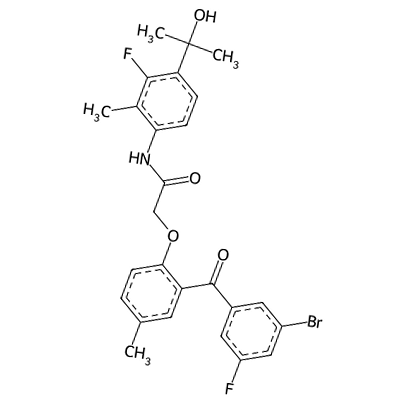 Cc1ccc(OCC(=O)Nc2ccc(C(C)(C)O)c(F)c2C)c(C(=O)c2cc(F)cc(Br)c2)c1